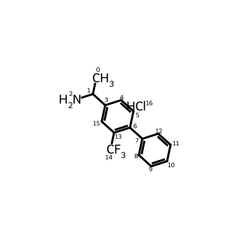 CC(N)c1ccc(-c2ccccc2)c(C(F)(F)F)c1.Cl